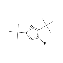 CC(C)(C)c1cc(F)c(C(C)(C)C)o1